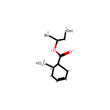 CCCCCCCCCCCC(OC(=O)C1CC=CCC1C(=O)O)C(C)CC